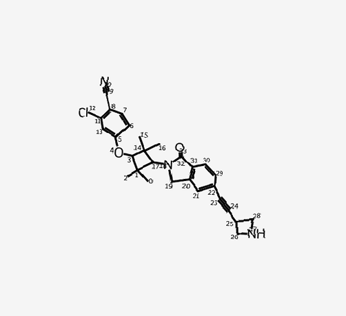 CC1(C)C(Oc2ccc(C#N)c(Cl)c2)C(C)(C)C1N1Cc2cc(C#CC3CNC3)ccc2C1=O